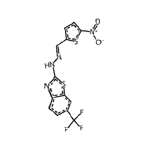 O=[N+]([O-])c1ccc(C=NNc2nc3ccc(C(F)(F)F)cc3s2)s1